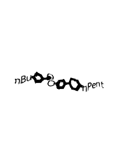 CCCCCC1CCC(c2ccc(OC(=O)c3ccc(CCCC)cc3)cc2)CC1